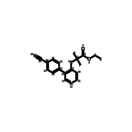 CCOC(=O)C(C)(C)Sc1ccncc1-c1ccc(C#N)cc1